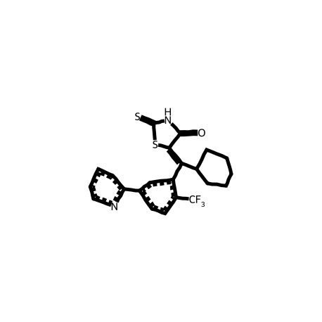 O=C1NC(=S)S/C1=C(\c1cc(-c2ccccn2)ccc1C(F)(F)F)C1CCCCC1